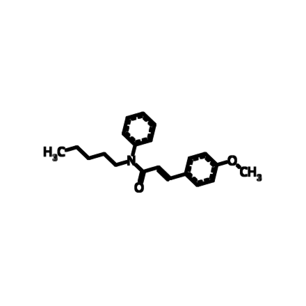 CCCCCN(C(=O)/C=C/c1ccc(OC)cc1)c1ccccc1